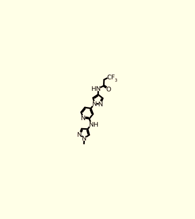 Cn1cc(Nc2cc(-n3cc(NC(=O)CC(F)(F)F)cn3)ccn2)cn1